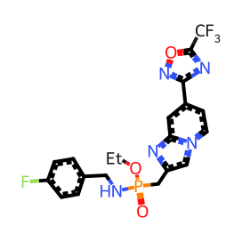 CCOP(=O)(Cc1cn2ccc(-c3noc(C(F)(F)F)n3)cc2n1)NCc1ccc(F)cc1